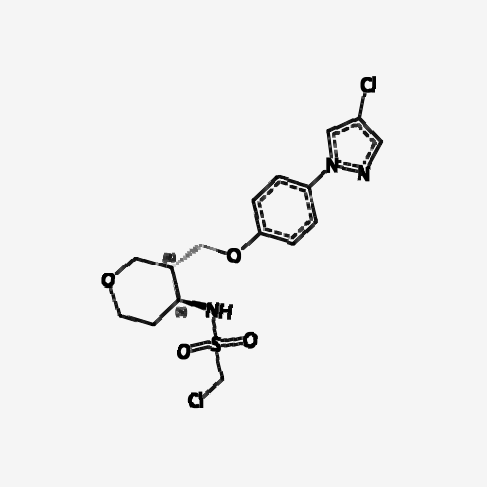 O=S(=O)(CCl)N[C@H]1CCOC[C@@H]1COc1ccc(-n2cc(Cl)cn2)cc1